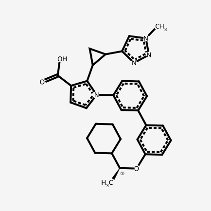 C[C@H](Oc1cccc(-c2cccc(-n3ccc(C(=O)O)c3C3CC3c3cn(C)nn3)c2)c1)C1CCCCC1